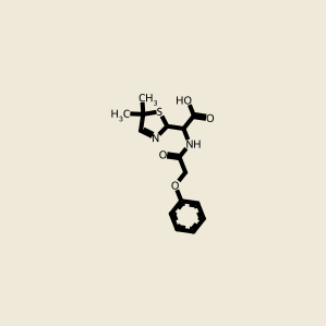 CC1(C)C=NC(C(NC(=O)COc2ccccc2)C(=O)O)S1